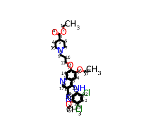 CCOC(=O)C1CCN(CCCOc2cc3ncc(C#N)c(Nc4cc(OC)c(Cl)cc4Cl)c3cc2OCC)CC1